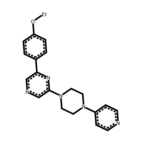 CCOc1ccc(-c2cncc(N3CCN(c4ccncc4)CC3)n2)cc1